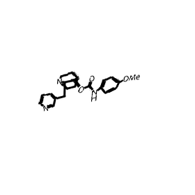 COc1ccc(NC(=O)OC2C3CCN(CC3)C2Cc2cccnc2)cc1